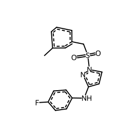 Cc1cccc(CS(=O)(=O)n2ccc(Nc3ccc(F)cc3)n2)c1